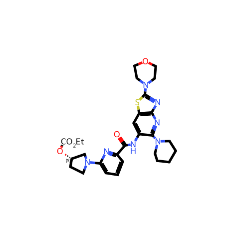 CCOC(=O)O[C@H]1CCN(c2cccc(C(=O)Nc3cc4sc(N5CCOCC5)nc4nc3N3CCCCC3)n2)C1